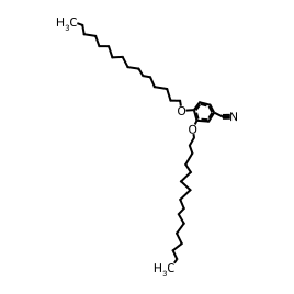 CCCCCCCCCCCCCCCCOc1ccc(C#N)cc1OCCCCCCCCCCCCCCCC